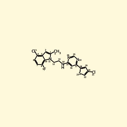 Cc1cc2c(Cl)ccc(F)c2n1CCNc1cc(-c2cc(Cl)cs2)ncn1